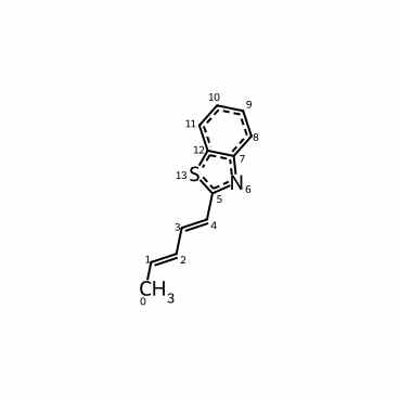 C/C=C/C=C/c1nc2ccccc2s1